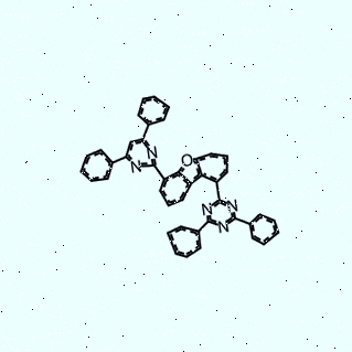 c1ccc(-c2cc(-c3ccccc3)nc(-c3cccc4c3oc3cccc(-c5nc(-c6ccccc6)nc(-c6ccccc6)n5)c34)n2)cc1